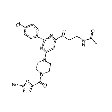 CC(=O)NCCNc1cc(N2CCN(C(=O)c3ccc(Br)o3)CC2)nc(-c2ccc(Cl)cc2)n1